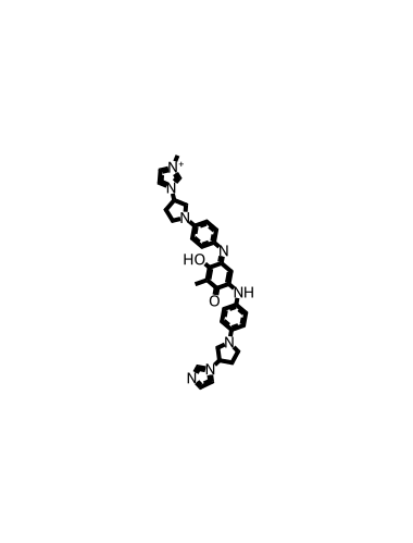 CC1=C(O)/C(=N\c2ccc(N3CCC(n4cc[n+](C)c4)C3)cc2)C=C(Nc2ccc(N3CCC(n4ccnc4)C3)cc2)C1=O